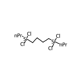 CCC[Si](Cl)(Cl)CCCC[Si](Cl)(Cl)CCC